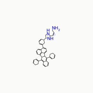 NC/C=C\C1NCC(C2C=CC=C(c3ccc4c5c(cccc35)C3C(C5=CC=CCC5)=c5ccccc5=C(C5=CC=CCC5)C43)C2)N1